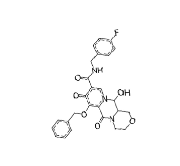 O=C(NCc1ccc(F)cc1)c1cn2c(c(OCc3ccccc3)c1=O)C(=O)N1CCOCC1C2O